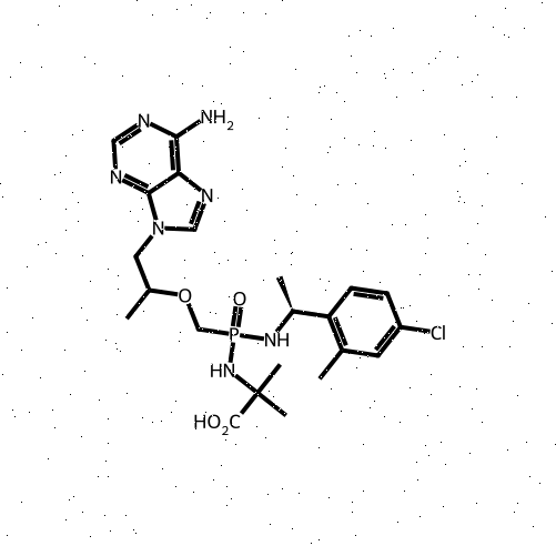 Cc1cc(Cl)ccc1[C@H](C)NP(=O)(COC(C)Cn1cnc2c(N)ncnc21)NC(C)(C)C(=O)O